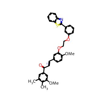 COc1ccc(/C=C/C(=O)c2cc(C)c(C)c(OC)c2)cc1OCCOc1cccc(-c2nc3ccccc3s2)c1